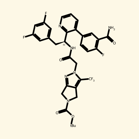 CC(C)(C)OC(=O)N1Cc2nn(CC(=O)N[C@@H](Cc3cc(F)cc(F)c3)c3ncccc3-c3ccc(F)c(C(N)=O)c3)c(C(F)(F)F)c2C1